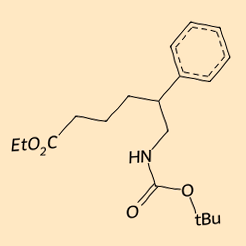 CCOC(=O)CCCC(CNC(=O)OC(C)(C)C)c1ccccc1